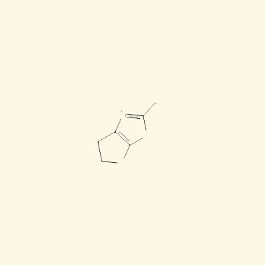 CC(C)c1nc2c(s1)OCC2